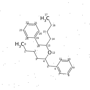 CCCCC(Cc1ccccc1)OC(CCCC)Cc1ccccc1